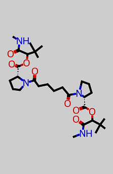 CNC(=O)C(OC(=O)[C@H]1CCCN1C(=O)CCCCC(=O)N1CCC[C@@H]1C(=O)OC(C(=O)NC)C(C)(C)C)C(C)(C)C